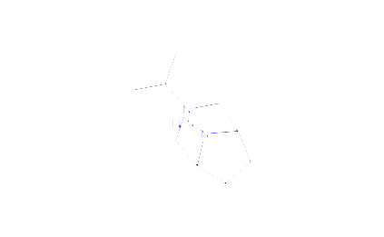 CC(C)N1CC2CCC(C1)N2N